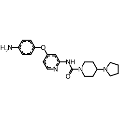 Nc1ccc(Oc2ccnc(NC(=O)N3CCC(N4CCCC4)CC3)c2)cc1